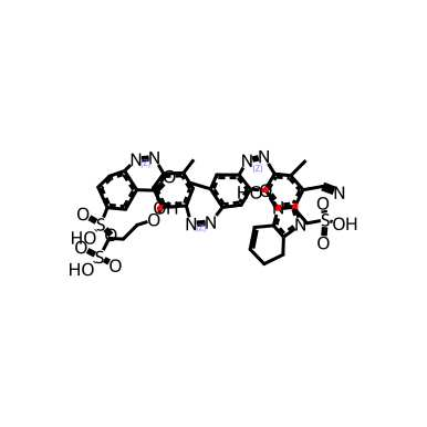 Cc1cc(/N=N\c2c(C)c(C#N)c3nc4c(n3c2O)C=CCC4)c(OCCCS(=O)(=O)O)cc1/N=N\c1cc(C)c(/N=N\c2ccc(S(=O)(=O)O)cc2C(=O)O)cc1OCCCS(=O)(=O)O